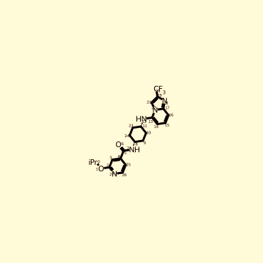 CC(C)Oc1cc(C(=O)N[C@H]2CC[C@@H](Nc3cccc4nc(C(F)(F)F)cn34)CC2)ccn1